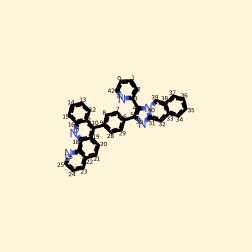 c1ccc(-c2c(-c3ccc(-c4c5ccccc5nc5c4ccc4cccnc45)cc3)nc3cc4ccccc4cn23)nc1